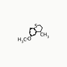 COc1ccc2c(c1)C(C)CCS2